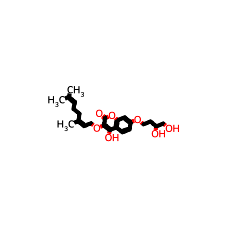 CC(C)=CCCC(C)=CCOc1c(O)c2ccc(OCCC(O)CO)cc2oc1=O